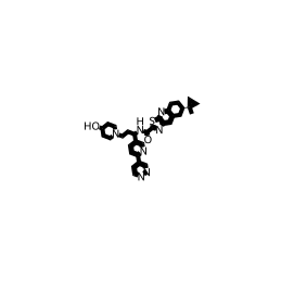 CC1([C@H]2CCc3nc4sc(C(=O)NC(CCN5CCC(O)CC5)c5ccc(-c6ccnnc6)nc5)nc4cc3C2)CC1